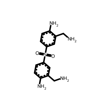 NCc1cc(S(=O)(=O)c2ccc(N)c(CN)c2)ccc1N